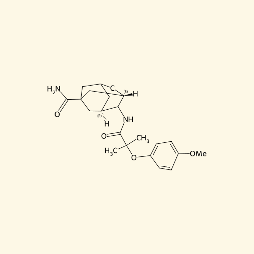 COc1ccc(OC(C)(C)C(=O)NC2[C@@H]3CC4C[C@H]2CC(C(N)=O)(C4)C3)cc1